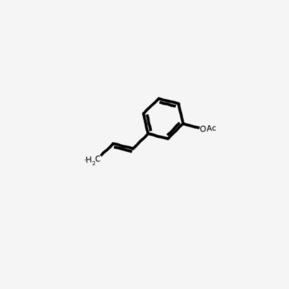 [CH2]C=Cc1cccc(OC(C)=O)c1